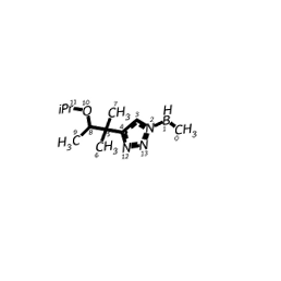 CBn1cc(C(C)(C)C(C)OC(C)C)nn1